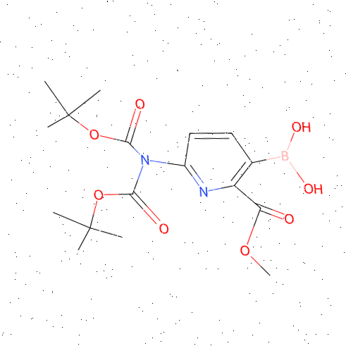 COC(=O)c1nc(N(C(=O)OC(C)(C)C)C(=O)OC(C)(C)C)ccc1B(O)O